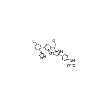 COC(=O)Nc1ccc(-c2cnc(C(CC3CC3)c3ccc(-c4cc(Cl)ccc4-n4cnnc4)c[n+]3[O-])[nH]2)cc1